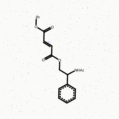 CC(=O)NC(COC(=O)/C=C/C(=O)OC(C)C)c1ccccc1